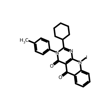 Cc1ccc(-n2c(C3CCCCC3)nc3c(c(=O)c4ccccc4n3I)c2=O)cc1